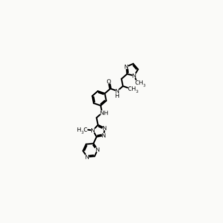 CC(Cc1nccn1C)NC(=O)c1cccc(NCc2nnc(-c3ccncn3)n2C)c1